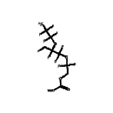 COC(=O)OCC(F)(F)OC(F)(F)C(F)(CF)OC(F)(F)C(F)(F)C(F)(F)F